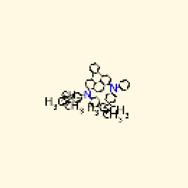 C[Si](C)(C)c1ccc(N(c2ccccc2)c2ccc3c4ccccc4c4ccc(N(c5ccccc5)c5ccc([Si](C)(C)C)cc5)c5ccc2c3c54)cc1